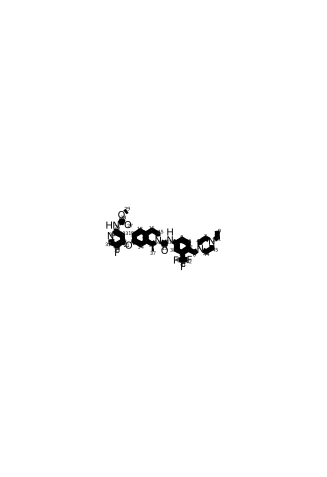 CCN1CCN(Cc2ccc(NC(=O)N3CCc4ccc(Oc5cc(NC(=O)OC)ncc5F)cc4[C@@H]3C)cc2C(F)(F)F)CC1